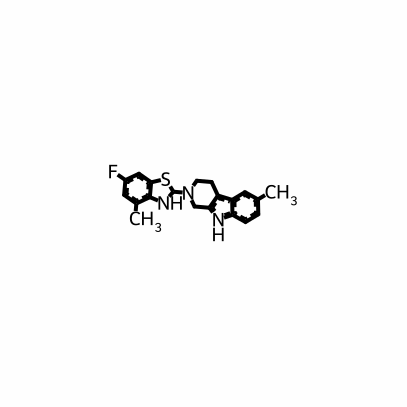 Cc1ccc2[nH]c3c(c2c1)CCN(C1Nc2c(C)cc(F)cc2S1)C3